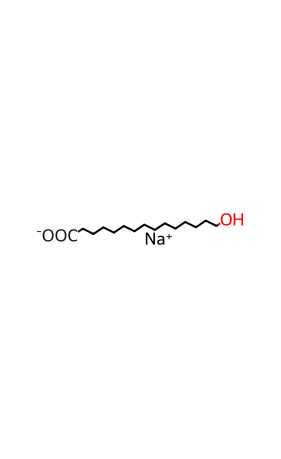 O=C([O-])CCCCCCCCCCCCCCO.[Na+]